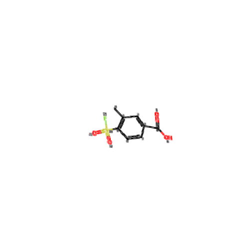 Cc1cc(C(=O)O)ccc1S(=O)(=O)F